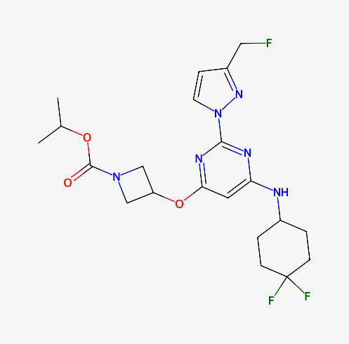 CC(C)OC(=O)N1CC(Oc2cc(NC3CCC(F)(F)CC3)nc(-n3ccc(CF)n3)n2)C1